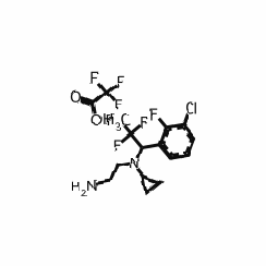 NCCN(C1CC1)C(c1cccc(Cl)c1F)C(F)(F)C(F)(F)F.O=C(O)C(F)(F)F